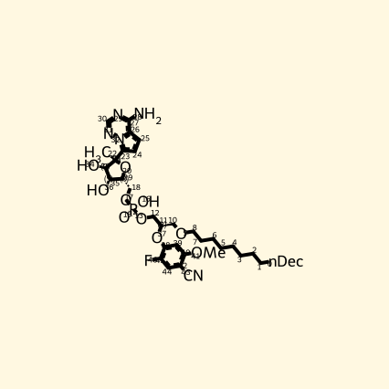 CCCCCCCCCCCCCCCCCCOC[C@H](COP(=O)(O)OC[C@H]1O[C@@](C)(c2ccc3c(N)ncnn23)[C@H](O)[C@@H]1O)Oc1cc(OC)c(C#N)cc1F